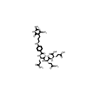 NC(=O)CC[C@H](NC(=O)c1ccc(NCCCc2c(N)nc(N)[nH]c2=O)cc1)C(=O)N[C@@H](CCC(N)=O)C(=O)N[C@@H](CCC(=O)O)C(=O)O